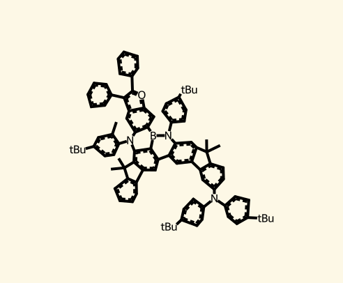 Cc1cc(C(C)(C)C)ccc1N1c2cc3c(-c4ccccc4)c(-c4ccccc4)oc3cc2B2c3c(cc4c(c31)C(C)(C)c1ccccc1-4)-c1cc3c(cc1N2c1ccc(C(C)(C)C)cc1)C(C)(C)c1ccc(N(c2ccc(C(C)(C)C)cc2)c2ccc(C(C)(C)C)cc2)cc1-3